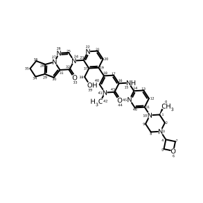 C[C@H]1CN(C2COC2)CCN1c1ccc(Nc2cc(-c3ccnc(-n4cnn5c6c(cc5c4=O)CCC6)c3CO)cn(C)c2=O)nc1